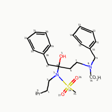 CC(C)CCN(C(O)(CCN(Cc1ccccc1)C(=O)O)Cc1ccccc1)S(C)(=O)=O